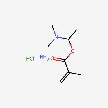 C=C(C)C(=O)OC(C)N(C)C.Cl.N